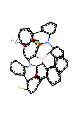 Cc1cc2c3c(c1)N(c1ccccc1-c1ccccc1F)c1cccc(-c4ccccc4)c1B3c1c(-c3ccccc3)cccc1N2c1ccccc1-c1ccccc1F